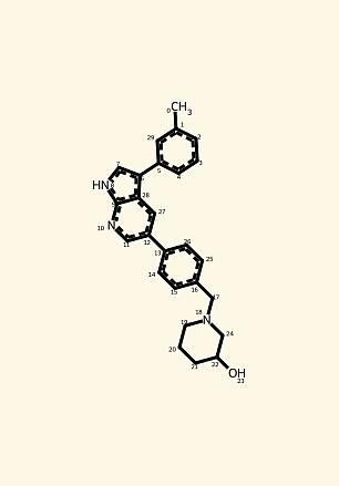 Cc1cccc(-c2c[nH]c3ncc(-c4ccc(CN5CCCC(O)C5)cc4)cc23)c1